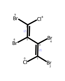 Cl/C(Br)=C(Br)\C(Br)=C(/Cl)Br